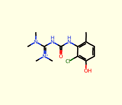 Cc1ccc(O)c(Cl)c1NC(=O)NC(N(C)C)=[N+](C)C